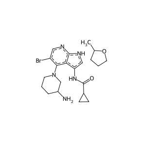 CC1CCCO1.NC1CCCN(c2c(Br)cnc3[nH]cc(NC(=O)C4CC4)c23)C1